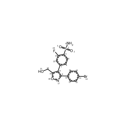 NS(=O)(=O)c1ccc(-c2c(-c3ccc(Br)cc3)noc2CO)cc1F